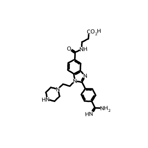 N=C(N)c1ccc(-c2nc3cc(C(=O)NCCC(=O)O)ccc3n2CCN2CCNCC2)cc1